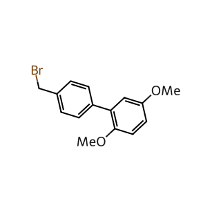 COc1ccc(OC)c(-c2ccc(CBr)cc2)c1